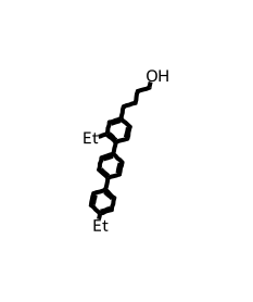 CCc1ccc(-c2ccc(-c3ccc(CCCCO)cc3CC)cc2)cc1